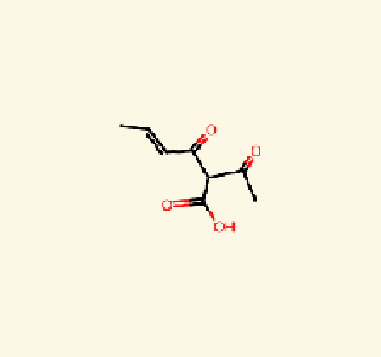 CC=CC(=O)C(C(C)=O)C(=O)O